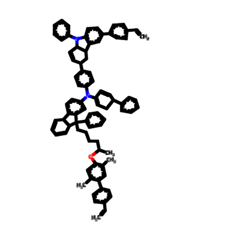 C=Cc1ccc(-c2ccc3c(c2)C2CC(c4ccc(N(C5=CCC(c6ccccc6)C=C5)c5ccc6c(c5)C(CCCCC(C)Oc5cc(C)c(-c7ccc(C=C)cc7)cc5C)(c5ccccc5)C5C=CC=CC65)cc4)C=CC2N3c2ccccc2)cc1